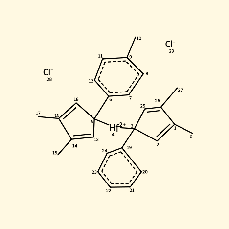 CC1=C[C]([Hf+2][C]2(c3ccc(C)cc3)C=C(C)C(C)=C2)(c2ccccc2)C=C1C.[Cl-].[Cl-]